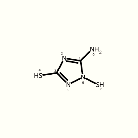 Nc1nc(S)nn1S